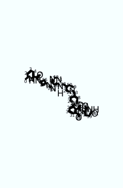 Cc1cccc(C(=O)NC2CC(n3cnc4c(NCC5CCN(CC6CCN(c7cccc8c7C(=O)N([C@@H]7CCC(=O)NC7=O)C8=O)CC6)CC5)ncnc43)C2)n1